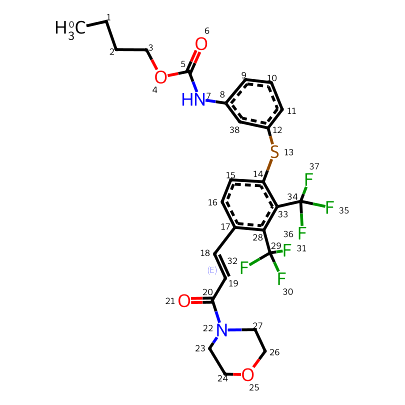 CCCCOC(=O)Nc1cccc(Sc2ccc(/C=C/C(=O)N3CCOCC3)c(C(F)(F)F)c2C(F)(F)F)c1